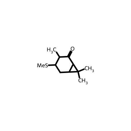 CSC1CC2C(C(=O)C1C)C2(C)C